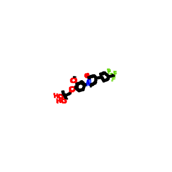 COc1cc(-n2ccc(-c3ccc(C(F)(F)F)cc3)cc2=O)ccc1OCC(C)(O)CO